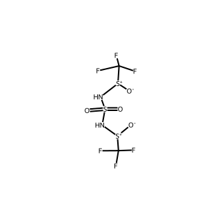 O=S(=O)(N[S+]([O-])C(F)(F)F)N[S+]([O-])C(F)(F)F